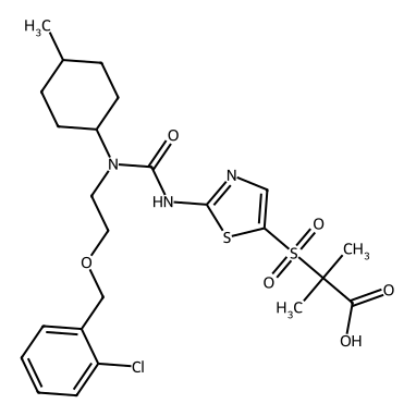 CC1CCC(N(CCOCc2ccccc2Cl)C(=O)Nc2ncc(S(=O)(=O)C(C)(C)C(=O)O)s2)CC1